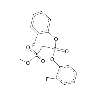 COS(=O)(=O)CP(=O)(Oc1ccccc1F)Oc1ccccc1F